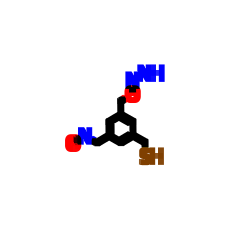 N=NOCc1cc(CS)cc(CN=O)c1